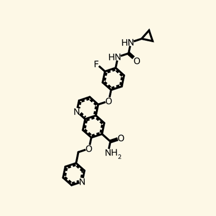 NC(=O)c1cc2c(Oc3ccc(NC(=O)NC4CC4)c(F)c3)ccnc2cc1OCc1cccnc1